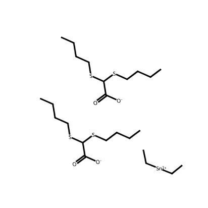 CCCCSC(SCCCC)C(=O)[O-].CCCCSC(SCCCC)C(=O)[O-].C[CH2][Sn+2][CH2]C